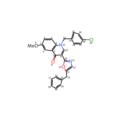 COc1ccc2c(c1)c(=O)c(-c1ncc(Cc3ccccc3)o1)cn2Cc1ccc(Cl)cc1